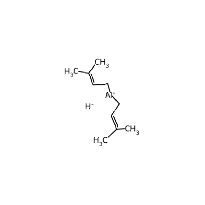 CC(C)=C[CH2][Al+][CH2]C=C(C)C.[H-]